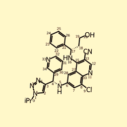 CC(C)n1cc([C@@H](Nc2cc(Cl)c3ncc(C#N)c(N[C@@H](CCO)c4ccccc4)c3c2)c2cccnc2)nn1